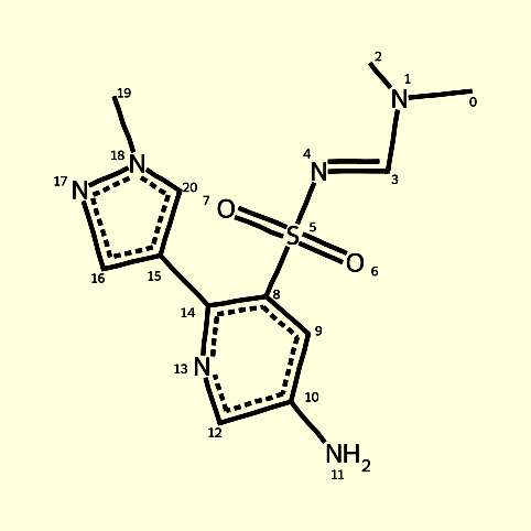 CN(C)C=NS(=O)(=O)c1cc(N)cnc1-c1cnn(C)c1